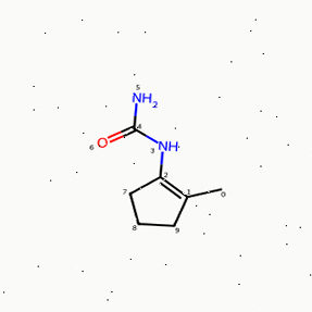 CC1=C(NC(N)=O)CCC1